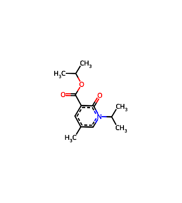 Cc1cc(C(=O)OC(C)C)c(=O)n(C(C)C)c1